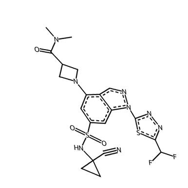 CN(C)C(=O)C1CN(c2cc(S(=O)(=O)NC3(C#N)CC3)cc3c2cnn3-c2nnc(C(F)F)s2)C1